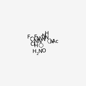 CC(=O)N1CCC[C@@H](Nc2ncc3nc(Nc4c(F)cc(F)cc4Cl)n([C@H]4CC[C@@H](C(N)=O)CC4)c3n2)C1